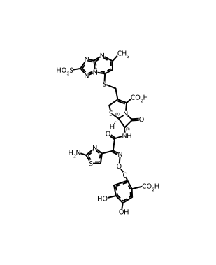 Cc1cc(SCC2=C(C(=O)O)N3C(=O)[C@@H](NC(=O)C(=NOCc4cc(O)c(O)cc4C(=O)O)c4csc(N)n4)[C@H]3SC2)n2nc(S(=O)(=O)O)nc2n1